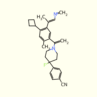 C=N/C=C(\C)c1cc(C(=C)N2CCC(F)(c3ccc(C#N)cc3)CC2)c(C)cc1C1CCC1